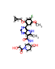 COc1cc(-c2ncnc3c(C(=O)N[C@H]4CN(C(=O)CO)CC[C@@H]4O)c(C)[nH]c23)c(OCC2CC2)cc1F